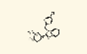 N[C@@H]1CN(c2nc3ccccc3n2Cc2ccc(Cl)cn2)CC[C@@H]1F